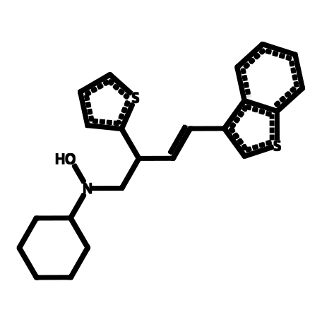 ON(CC(C=Cc1csc2ccccc12)c1cccs1)C1CCCCC1